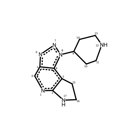 c1nc2c(c3c1nnn3C1CCNCC1)CCN2